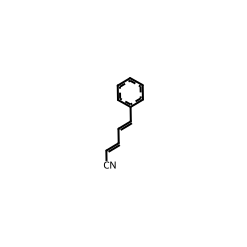 N#CC=CC=Cc1ccccc1